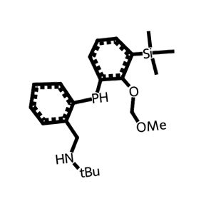 COCOc1c(Pc2ccccc2CNC(C)(C)C)cccc1[Si](C)(C)C